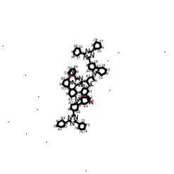 N#Cc1cccc(-c2ccc(-n3c4ccccc4c4cc(-c5nc(-c6ccccc6)nc(-c6ccccc6)n5)ccc43)cc2-c2nc(-c3ccccc3)nc(-c3cc(-n4c5ccccc5c5cc(-c6nc(-c7ccccc7)nc(-c7ccccc7)n6)ccc54)ccc3-c3cccc(C#N)c3)n2)c1